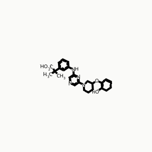 CC(C)(C(=O)O)c1cccc(Nc2cncc(N3CCCC(OC4=C(O)CCC=C4)C3)n2)c1